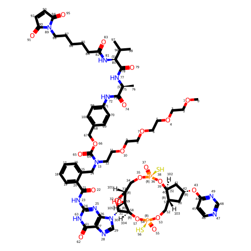 COCCOCCOCCOCCN(Cc1ccccc1C(=O)Nc1nc2c(ncn2[C@@H]2O[C@@H]3CO[P@@](=O)(S)O[C@H]4C[C@H](Oc5ccncn5)C[C@@H]4CO[P@@](=O)(S)O[C@@H]2[C@@H]3O)c(=O)[nH]1)C(=O)OCc1ccc(NC(=O)[C@H](C)NC(=O)[C@@H](NC(=O)CCCCCN2C(=O)C=CC2=O)C(C)C)cc1